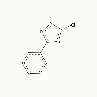 Clc1nnc(-c2ccncc2)s1